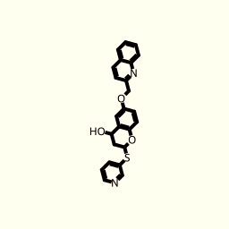 OC1CC(Sc2cccnc2)Oc2ccc(OCc3ccc4ccccc4n3)cc21